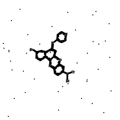 CCN(CC)c1ccc2nc3c4ccc(Br)cc4/c(=N/c4ccncc4)cc-3oc2c1